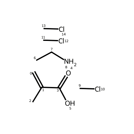 C=C(C)C(=O)O.CCN.CCl.CCl.CCl